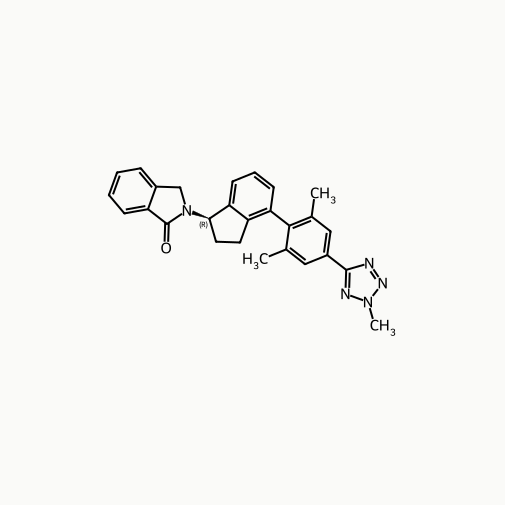 Cc1cc(-c2nnn(C)n2)cc(C)c1-c1cccc2c1CC[C@H]2N1Cc2ccccc2C1=O